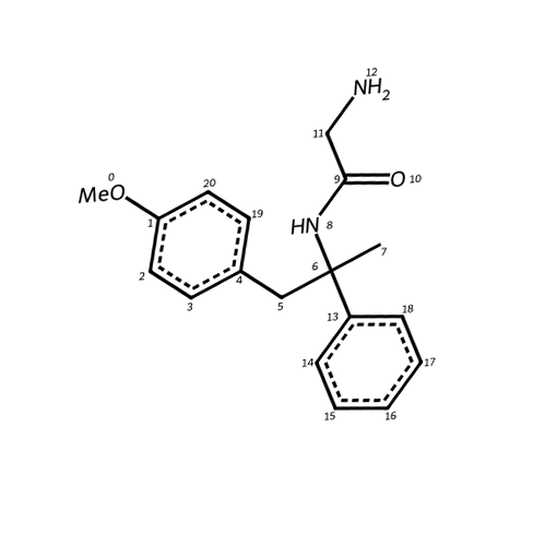 COc1ccc(CC(C)(NC(=O)CN)c2ccccc2)cc1